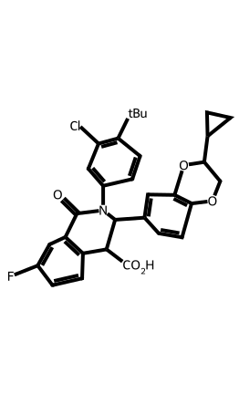 CC(C)(C)c1ccc(N2C(=O)c3cc(F)ccc3C(C(=O)O)C2c2ccc3c(c2)OC(C2CC2)CO3)cc1Cl